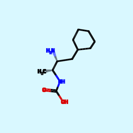 C[C@@H](NC(=O)O)[C@H](N)CC1CCCCC1